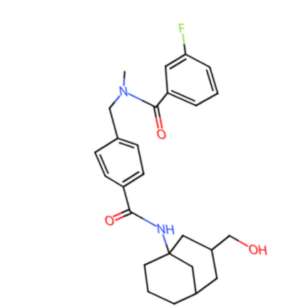 CN(Cc1ccc(C(=O)NC23CCCC(CC(CO)C2)C3)cc1)C(=O)c1cccc(F)c1